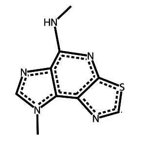 CNc1nc2s[c]nc2c2c1ncn2C